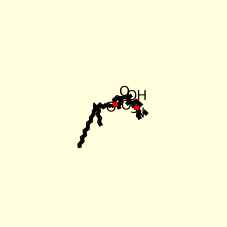 CCCCCCCCCCCC[N+](C)(CCCCC)CCCOc1ccc2c(=O)c(O)c(-c3ccc(N(CC)CC)s3)oc2c1C